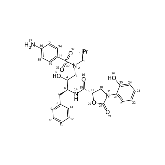 CC(C)CN(CC(O)[C@H](Cc1ccccc1)NC(=O)[C@@H]1CN(c2ccccc2O)C(=O)O1)S(=O)(=O)c1ccc(N)cc1